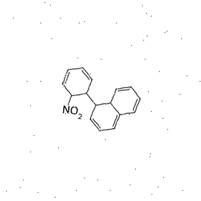 O=[N+]([O-])C1C=CC=CC1C1C=CC=C2C=CC=CC21